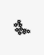 c1ccc(-c2ccc(-c3cc(-c4ccc5c6ccccc6n(-c6ccccc6)c5c4)cc(N(c4ccccc4)c4ccccc4)c3)c3ccccc23)cc1